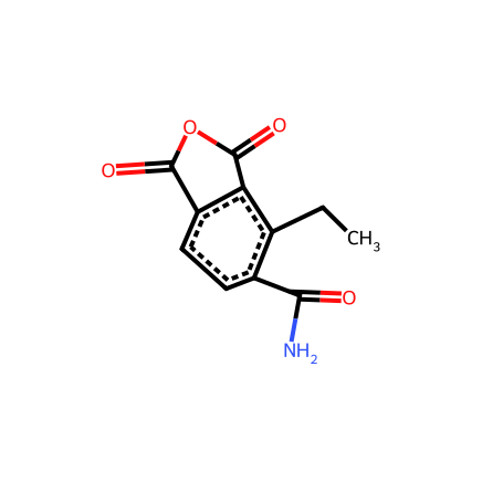 CCc1c(C(N)=O)ccc2c1C(=O)OC2=O